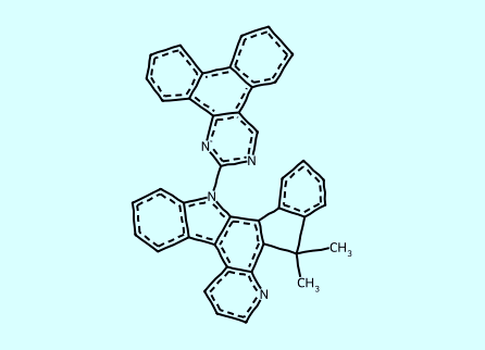 CC1(C)c2ccccc2-c2c1c1ncccc1c1c3ccccc3n(-c3ncc4c5ccccc5c5ccccc5c4n3)c21